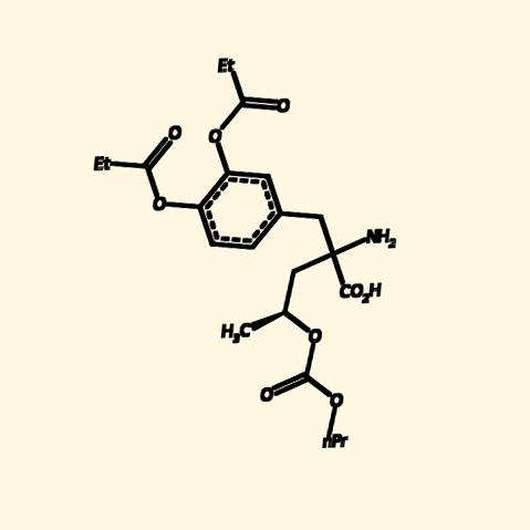 CCCOC(=O)O[C@@H](C)CC(N)(Cc1ccc(OC(=O)CC)c(OC(=O)CC)c1)C(=O)O